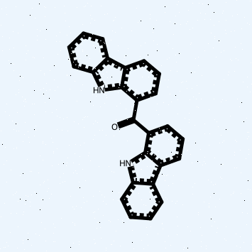 O=C(c1cccc2c1[nH]c1ccccc12)c1cccc2c1[nH]c1ccccc12